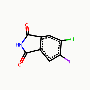 O=C1NC(=O)c2cc(I)c(Cl)cc21